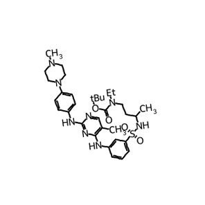 CCN(CCC(C)NS(=O)(=O)c1cccc(Nc2nc(Nc3ccc(N4CCN(C)CC4)cc3)ncc2C)c1)C(=O)OC(C)(C)C